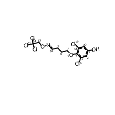 Oc1cc(Cl)c(OCCCC=NOCC(Cl)(Cl)Cl)c(Cl)c1